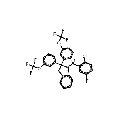 O=C(NC(Cc1ccccc1)(c1cccc(OC(F)(F)F)c1)c1cccc(OC(F)(F)F)c1)c1cc(F)ccc1Cl